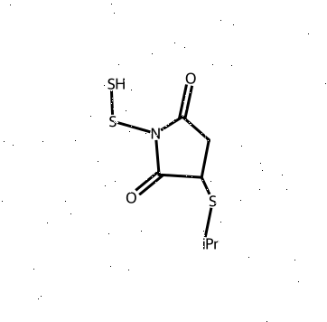 CC(C)SC1CC(=O)N(SS)C1=O